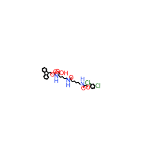 O=C(CCCCCNC(=O)COc1ccc(Cl)cc1Cl)NCCCCC(NC(=O)OCC1c2ccccc2-c2ccccc21)C(=O)O